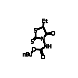 CCCCOC(=O)NN1C(=O)C(CC)SC1=S